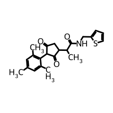 Cc1cc(C)c(C2C(=O)CC(C(C)C(=O)NCc3cccs3)C2=O)c(C)c1